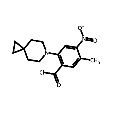 Cc1cc(C(=O)Cl)c(N2CCC3(CC2)CC3)cc1[N+](=O)[O-]